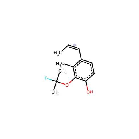 C/C=C\c1ccc(O)c(OC(C)(C)F)c1C